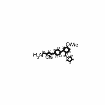 COc1ccc(CN2CCCC2)c(-c2ccc(-c3cc(CN)on3)cc2)c1